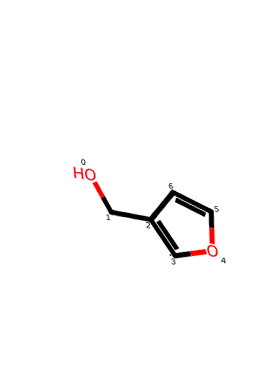 OCc1[c]occ1